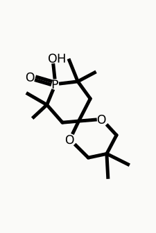 CC1(C)COC2(CC(C)(C)P(=O)(O)C(C)(C)C2)OC1